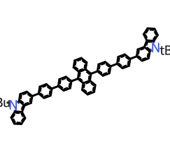 CC(C)(C)n1c2ccccc2c2cc(-c3ccc(-c4ccc(-c5c6ccccc6c(-c6ccc(-c7ccc(-c8ccc9c(c8)c8ccccc8n9C(C)(C)C)cc7)cc6)c6ccccc56)cc4)cc3)ccc21